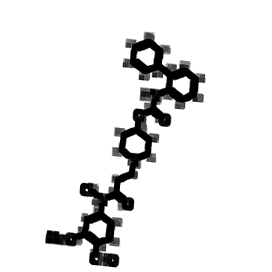 COc1cc(N(Cl)C(=O)CCN2CCC(OC(=O)Nc3ccccc3-c3ccccc3)CC2)ccc1C=O